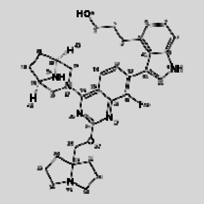 OCCCc1cccc2[nH]cc(-c3ccc4c(N5C[C@H]6CC[C@@H](C5)N6)nc(OCC56CCCN5CCC6)nc4c3F)c12